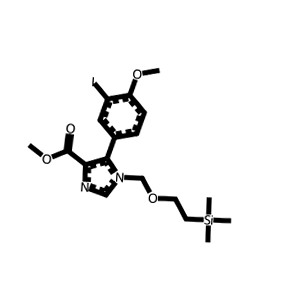 COC(=O)c1ncn(COCC[Si](C)(C)C)c1-c1ccc(OC)c(I)c1